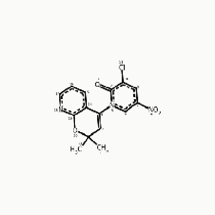 CC1(C)C=C(n2cc([N+](=O)[O-])cc(Cl)c2=O)c2cccnc2O1